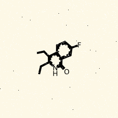 CCc1[nH]c(=O)c2cc(F)ccc2c1CC